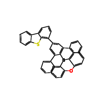 c1ccc(-c2cc(-c3cccc4c3sc3ccccc34)cc(-c3ccccc3)c2B2c3ccccc3Oc3ccccc32)cc1